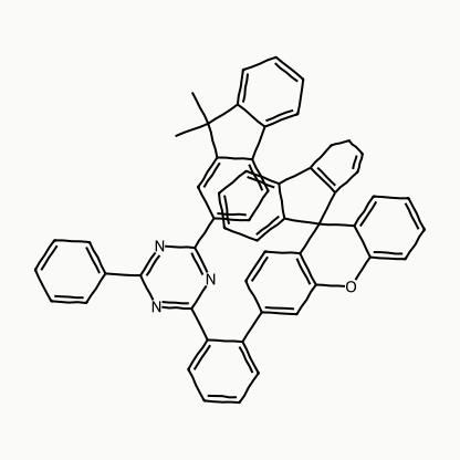 CC1(C)c2ccccc2-c2ccc(-c3nc(-c4ccccc4)nc(-c4ccccc4-c4ccc5c(c4)Oc4ccccc4C54C5=C(CCC=C5)c5ccccc54)n3)cc21